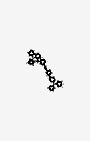 CC1(C)c2cc(C#Cc3ccc(-c4ccc(N(c5ccccc5)c5ccccc5)cc4)cc3)ccc2-c2ccc3c4ccccc4n(-c4ccccc4)c3c21